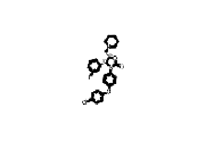 O=C1O[C@@H](CN2CCCCC2)[C@H](c2cccc(F)c2)N1c1ccc(Oc2ccc(Cl)cc2)cc1